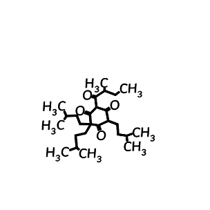 CCC(C)C(=O)C1C(=O)C(CCC(C)C)C(=O)C(CCC(C)C)(CCC(C)C)C1=O